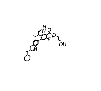 CCC1C=CNc2c(C(=O)C3CC(CCCO)C3)c(F)cc(-c3ccc4c(c3)N=CC(C(C)C3CCCCC3)C4)c21